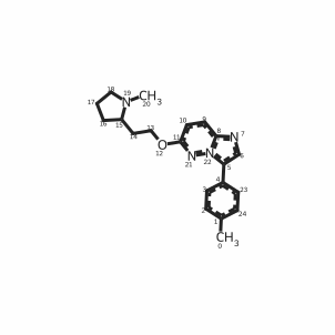 Cc1ccc(-c2cnc3ccc(OCCC4CCCN4C)nn23)cc1